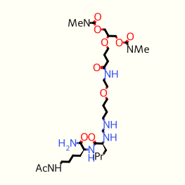 CNC(=O)OCC(COC(=O)NC)OCCCC(=O)NCCOCCCCNCN[C@@H](CC(C)C)C(=O)N[C@@H](CCCCNC(C)=O)C(N)=O